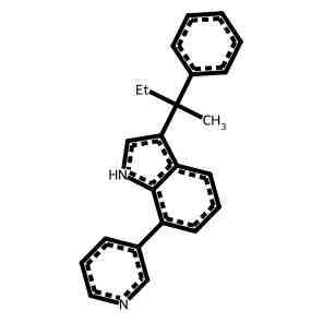 [CH2]CC(C)(c1ccccc1)c1c[nH]c2c(-c3cccnc3)cccc12